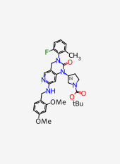 COc1ccc(CNc2cc3c(cn2)CN(c2c(C)cccc2F)C(=O)N3[C@H]2CCN(C(=O)OC(C)(C)C)C2)c(OC)c1